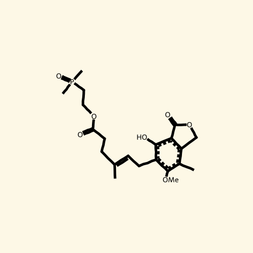 COc1c(C)c2c(c(O)c1C/C=C(\C)CCC(=O)OCCP(C)(C)=O)C(=O)OC2